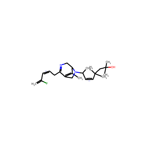 C=C(F)/C=C\CC1=NCC2C(C)=C1CN2C(C)/C=C\C(C)(C)CC(C)(C)O